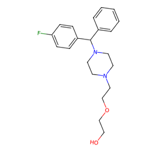 OCCOCCN1CCN(C(c2ccccc2)c2ccc(F)cc2)CC1